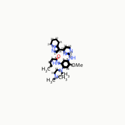 C=C/C=C\C(=O)Nc1cc(Nc2nccc(-c3cnn4c3CCCC4)n2)c(OC)cc1N(C)CCN(C)C